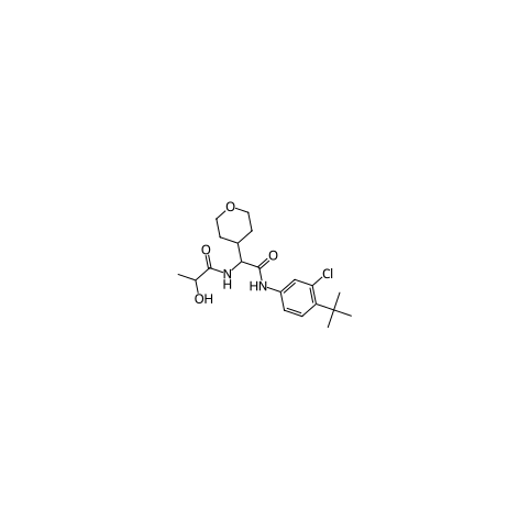 CC(O)C(=O)NC(C(=O)Nc1ccc(C(C)(C)C)c(Cl)c1)C1CCOCC1